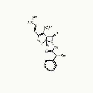 CCCNN=CC1=C(C(=O)O)N2C(=O)C(NC(=O)C(O)c3ccccc3)[C@@H]2SC1